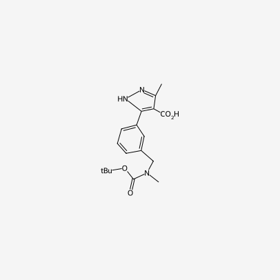 Cc1n[nH]c(-c2cccc(CN(C)C(=O)OC(C)(C)C)c2)c1C(=O)O